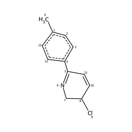 Cc1ccc(C2=NCC(Cl)C=C2)cc1